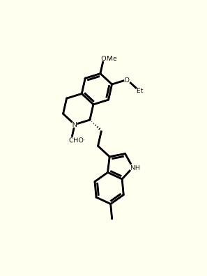 CCOc1cc2c(cc1OC)CCN([C]=O)[C@H]2CCc1c[nH]c2cc(C)ccc12